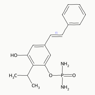 CC(C)c1c(O)cc(/C=C/c2ccccc2)cc1OP(N)(N)=O